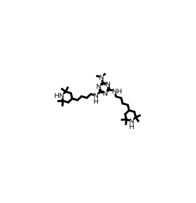 CN(C)c1nc(NCCCCC2CC(C)(C)NC(C)(C)C2)nc(NCCCCC2CC(C)(C)NC(C)(C)C2)n1